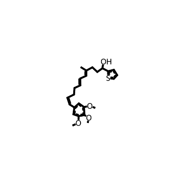 COc1cc(/C=C\CC/C=C/C=C(\C)CCC(O)c2cccs2)cc(OC)c1OC